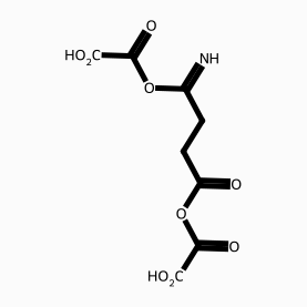 N=C(CCC(=O)OC(=O)C(=O)O)OC(=O)C(=O)O